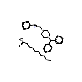 C(=C\c1ccccc1)/CN1CCN(C(c2ccccc2)c2ccccc2)CC1.CCCCCCCCCC(=O)O